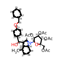 CC(=O)OC[C@H]1O[C@@H](n2cc(C(O)c3ccc(OCc4ccccc4)cc3)c3c(C)cccc32)[C@H](OC(C)=O)[C@@H](OC(C)=O)[C@@H]1OC(C)=O